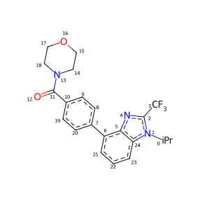 CC(C)n1c(C(F)(F)F)nc2c(-c3ccc(C(=O)N4CCOCC4)cc3)cccc21